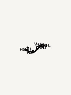 CNc1nc(N)c(Cl)nc1C(=O)NC1CCCN(CCCc2ccc(OCC(=O)NCC(O)CO)cc2)C1